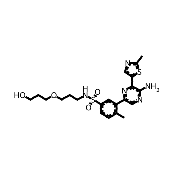 Cc1ncc(-c2nc(-c3cc(S(=O)(=O)NCCCOCCCO)ccc3C)cnc2N)s1